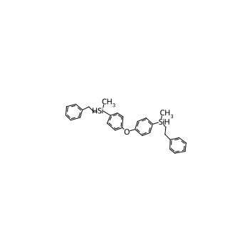 C[SiH](CCc1ccccc1)c1ccc(Oc2ccc([SiH](C)CCc3ccccc3)cc2)cc1